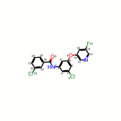 O=C(Nc1cc(Cl)cc(Oc2cncc(F)c2)c1)c1cccc(Cl)c1